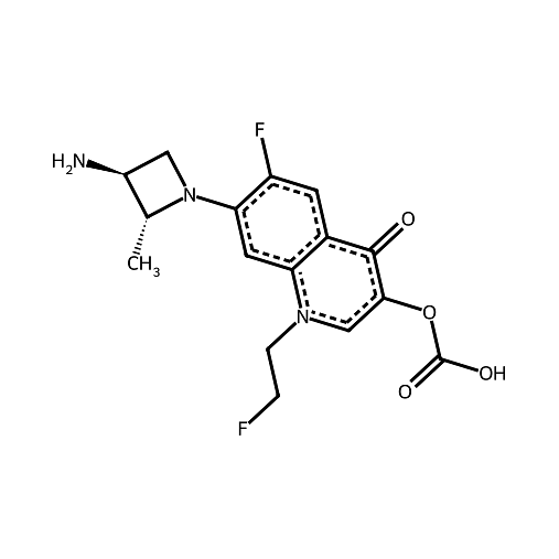 C[C@@H]1[C@@H](N)CN1c1cc2c(cc1F)c(=O)c(OC(=O)O)cn2CCF